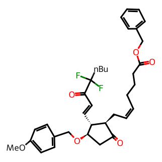 CCCCC(F)(F)C(=O)/C=C/[C@H]1[C@H](OCc2ccc(OC)cc2)CC(=O)[C@@H]1C/C=C\CCCC(=O)OCc1ccccc1